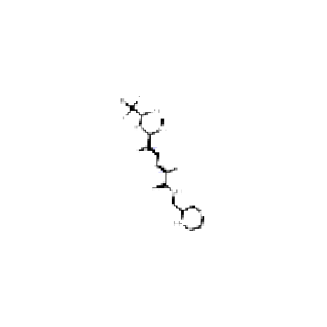 CNC(NC(O)C(F)(F)F)/C(C)=C/C=C(\C)C(=O)NCC1COCCN1